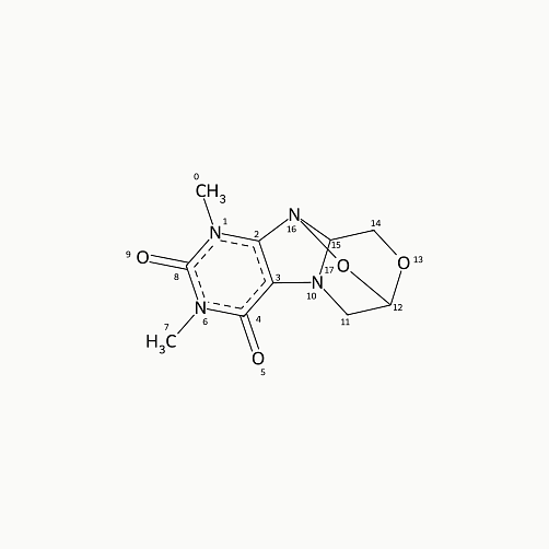 Cn1c2c(c(=O)n(C)c1=O)N1CC3OCC1N2O3